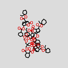 CCC1(OC(=O)C2C3CC4C(OC(=O)C42)C3OC(=O)C2CCCC(OCOCC(COC(=O)C3CCCCC3C(=O)OC3C4CC5C3OC(=O)C5C4C(=O)OC3(CC)CCCCC3)(COC(=O)C3CCCCC3C(=O)OC3C4CC5C3OC(=O)C5C4C(=O)OC3(CC)CCCCC3)COC(=O)C3CCCCC3C(=O)OC3C4CC5C3OC(=O)C5C4C(=O)OC3(CC)CCCCC3)C2)CCCCC1